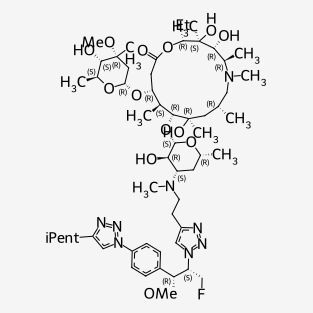 CCCC(C)c1cn(-c2ccc([C@@H](OC)[C@@H](CF)n3cc(CCN(C)[C@H]4C[C@@H](C)O[C@@H](O[C@@H]5[C@@H](C)[C@H](O[C@H]6C[C@@](C)(OC)[C@@H](O)[C@H](C)O6)CC(=O)O[C@H](CC)[C@@](C)(O)[C@H](O)[C@@H](C)N(C)C[C@H](C)C[C@@]5(C)O)[C@@H]4O)nn3)cc2)nn1